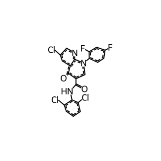 O=C(Nc1c(Cl)cccc1Cl)c1cn(-c2ccc(F)cc2F)c2ncc(Cl)cc2c1=O